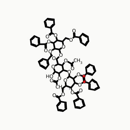 CC(=O)OC1C(O)OC(COC2OC(COC(=O)c3ccccc3)C(OC(=O)c3ccccc3)C(OC(=O)c3ccccc3)C2OC(=O)c2ccccc2)C(OC(C)=O)C1OC1OC(COC(=O)c2ccccc2)[C@H](OC(=O)c2ccccc2)C(OC(=O)c2ccccc2)C1OC(=O)c1ccccc1